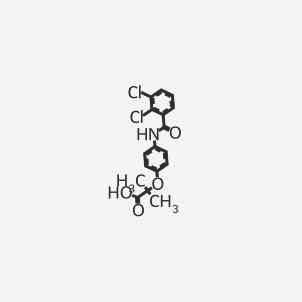 CC(C)(Oc1ccc(NC(=O)c2cccc(Cl)c2Cl)cc1)C(=O)O